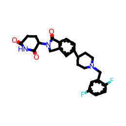 O=C1CCC(N2Cc3cc(C4CCN(Cc5cc(F)ccc5F)CC4)ccc3C2=O)C(=O)N1